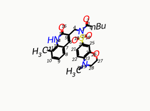 CCCCC(=O)N(Cc1cc2cccc(C)c2[nH]c1=O)S(=O)(=O)c1ccc2c(c1)OCCN2C